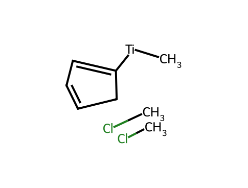 CCl.CCl.[CH3][Ti][C]1=CC=CC1